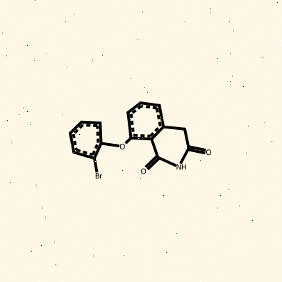 O=C1Cc2cccc(Oc3ccccc3Br)c2C(=O)N1